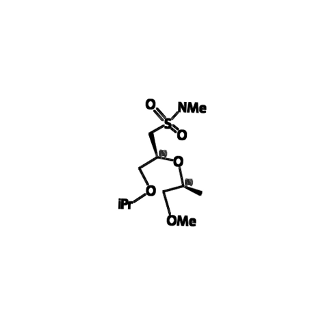 CNS(=O)(=O)C[C@H](COC(C)C)O[C@@H](C)COC